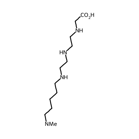 CNCCCCCNCCNCCNCC(=O)O